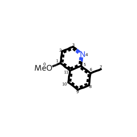 COc1ccnc2c(C)cccc12